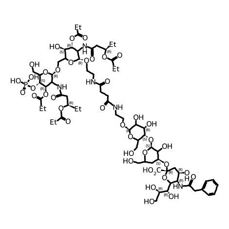 CCC(=O)O[C@H](CC)CC(=O)NC1[C@H](OCCNC(=O)CCC(=O)NCCO[C@@H]2OC(CO)[C@@H](O[C@@H]3OC(CO)C[C@H](O[C@]4(C(=O)O)C[C@@H](O)[C@@H](NC(=O)Cc5ccccc5)C([C@H](O)[C@H](O)CO)O4)C3O)[C@H](O)C2O)OC(CO[C@@H]2OC(CO)[C@@H](OP(=O)(O)O)[C@H](OC(=O)CC)C2NC(=O)C[C@@H](CC)OC(=O)CC)[C@@H](O)[C@@H]1OC(=O)CC